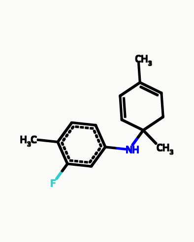 CC1=CCC(C)(Nc2ccc(C)c(F)c2)C=C1